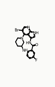 NC1CCCN(c2c(Br)cnc3[nH]cc(NC(=O)c4cccc(F)c4)c23)C1